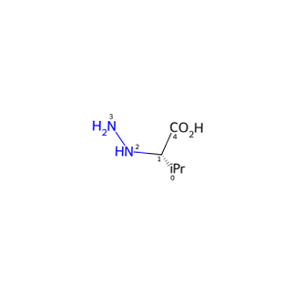 CC(C)[C@H](NN)C(=O)O